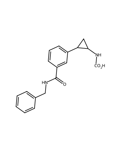 O=C(O)NC1CC1c1cccc(C(=O)NCc2ccccc2)c1